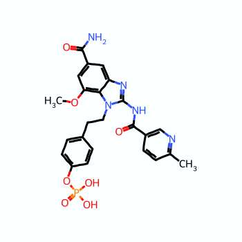 COc1cc(C(N)=O)cc2nc(NC(=O)c3ccc(C)nc3)n(CCc3ccc(OP(=O)(O)O)cc3)c12